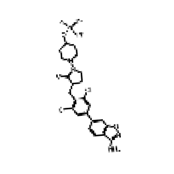 CC(C)[Si](OC1CCN(N2CCC(Cc3c(Cl)cc(-c4ccc5c(N)noc5c4)cc3Cl)C2=O)CC1)(C(C)C)C(C)C